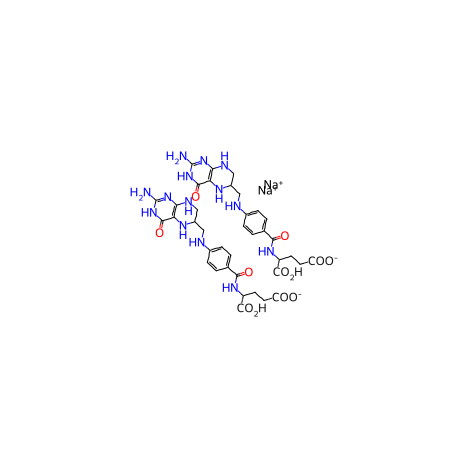 Nc1nc2c(c(=O)[nH]1)NC(CNc1ccc(C(=O)NC(CCC(=O)[O-])C(=O)O)cc1)CN2.Nc1nc2c(c(=O)[nH]1)NC(CNc1ccc(C(=O)NC(CCC(=O)[O-])C(=O)O)cc1)CN2.[Na+].[Na+]